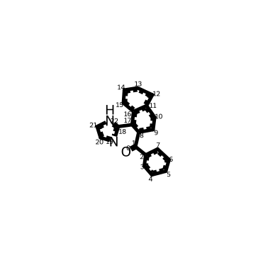 O=C(c1ccccc1)c1ccc2ccccc2c1-c1ncc[nH]1